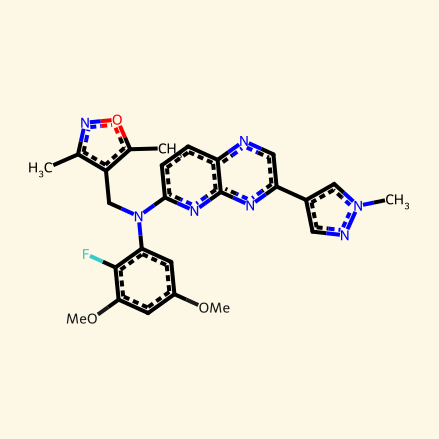 COc1cc(OC)c(F)c(N(Cc2c(C)noc2C)c2ccc3ncc(-c4cnn(C)c4)nc3n2)c1